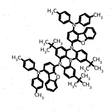 Cc1ccc(N(c2ccc(C)cc2)c2ccc(N3c4ccc(C(C)(C)C)cc4B4c5cc(C(C)(C)C)ccc5N(c5ccc(N(c6ccc(C)cc6)c6ccc(C)cc6)c6c5oc5ccccc56)c5cc(C(C)(C)C)cc3c54)c3oc4ccccc4c23)cc1